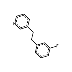 Fc1cccc(CCc2cccnc2)c1